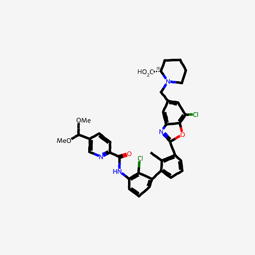 COC(OC)c1ccc(C(=O)Nc2cccc(-c3cccc(-c4nc5cc(CN6CCCC[C@H]6C(=O)O)cc(Cl)c5o4)c3C)c2Cl)nc1